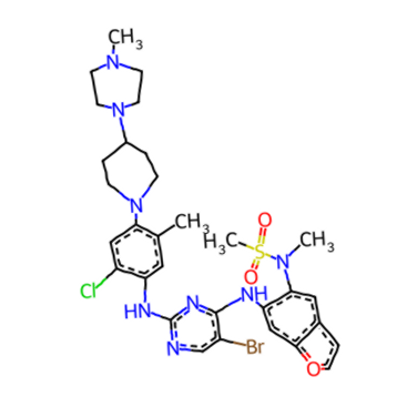 Cc1cc(Nc2ncc(Br)c(Nc3cc4occc4cc3N(C)S(C)(=O)=O)n2)c(Cl)cc1N1CCC(N2CCN(C)CC2)CC1